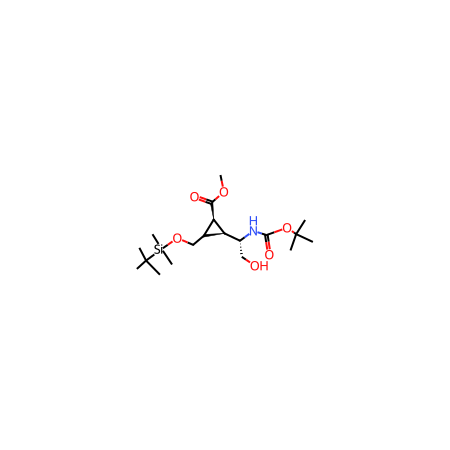 COC(=O)[C@@H]1C(CO[Si](C)(C)C(C)(C)C)[C@@H]1[C@@H](CO)NC(=O)OC(C)(C)C